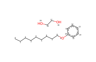 CCCCCCCCCOc1ccccc1.OCCO